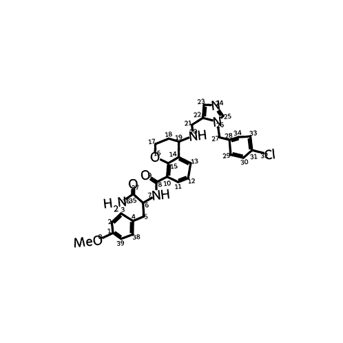 COc1ccc(CC(NC(=O)c2cccc3c2OCCC3NCc2cncn2Cc2ccc(Cl)cc2)C(N)=O)cc1